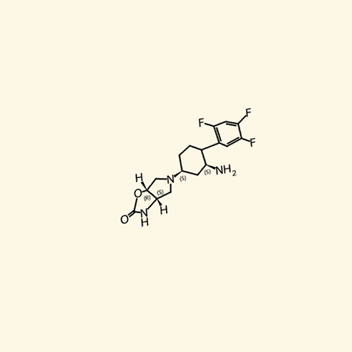 N[C@H]1C[C@@H](N2C[C@@H]3NC(=O)O[C@@H]3C2)CCC1c1cc(F)c(F)cc1F